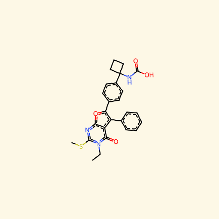 CCn1c(SC)nc2oc(-c3ccc(C4(NC(=O)O)CCC4)cc3)c(-c3ccccc3)c2c1=O